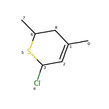 CC1=CC(Cl)SC(C)C1